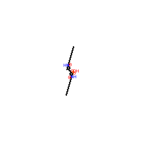 CCCCCCCCCCCCCCCC(=O)Nc1ccc(/C=C/c2ccc(NC(=O)CCCCCCCCCCCCCCC)cc2S(=O)(=O)O)c(C)c1